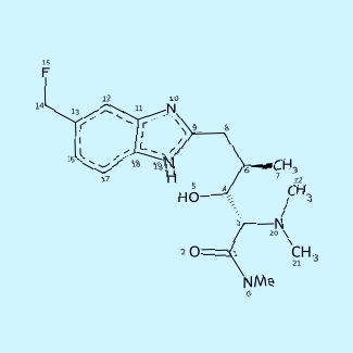 CNC(=O)[C@H](C(O)[C@H](C)Cc1nc2cc(CF)ccc2[nH]1)N(C)C